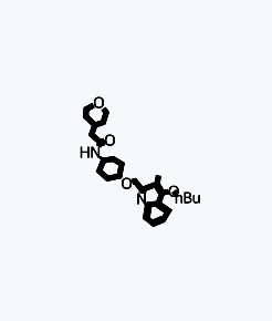 CCCCOc1c(C)c(CO[C@H]2CC[C@H](NC(=O)CC3CCOCC3)CC2)nc2ccccc12